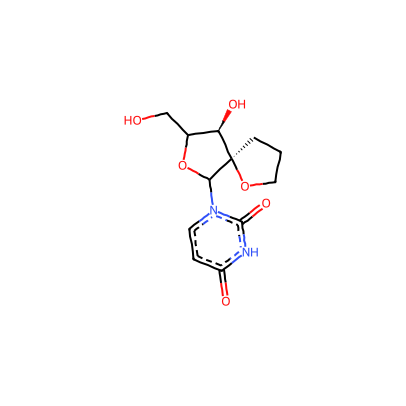 O=c1ccn(C2OC(CO)[C@@H](O)[C@]23CCCO3)c(=O)[nH]1